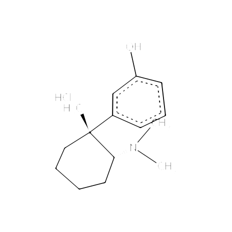 CN(C)[C@@H]1CCCC[C@]1(C)c1cccc(O)c1.Cl